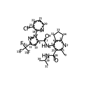 Cc1nc2c(c(NC(=O)c3cc(C(F)(F)F)nn3-c3ncccc3Cl)c1C(=O)NC(C)C)CCC2